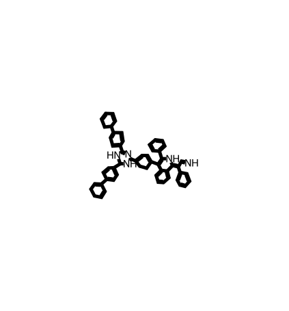 N=C/C(=C1\NC(c2ccccc2)=C(C2=CC=C(C3N=C(c4ccc(C5C=CC=CC5)cc4)NC(c4ccc(C5=CCCC=C5)cc4)N3)CC2)c2ccccc21)c1ccccc1